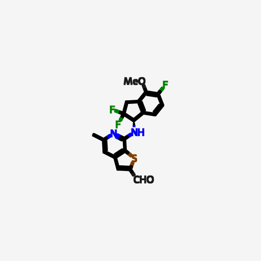 COc1c(F)ccc2c1CC(F)(F)[C@H]2Nc1nc(C)cc2cc(C=O)sc12